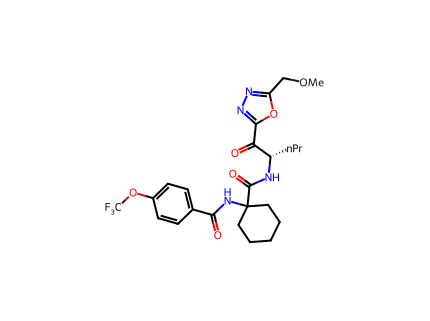 CCC[C@H](NC(=O)C1(NC(=O)c2ccc(OC(F)(F)F)cc2)CCCCC1)C(=O)c1nnc(COC)o1